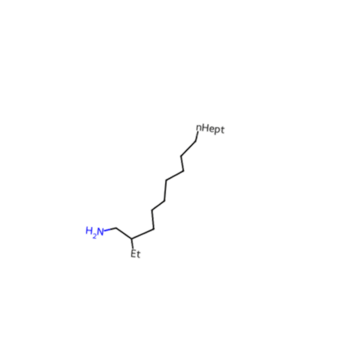 CCCCCCCCCCCCCCC(CC)CN